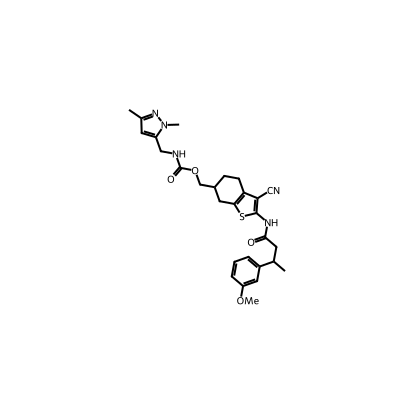 COc1cccc(C(C)CC(=O)Nc2sc3c(c2C#N)CCC(COC(=O)NCc2cc(C)nn2C)C3)c1